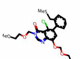 COCCOCOc1cc(-c2ccccc2CSC)c(Cl)c2c(=O)n(COCCOC)cnc12